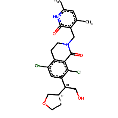 Cc1cc(C)c(CN2CCc3c(Cl)cc([C@@H](CO)[C@@H]4CCOC4)c(Cl)c3C2=O)c(=O)[nH]1